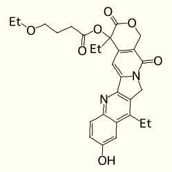 CCOCCCC(=O)OC1(CC)C(=O)OCc2c1cc1n(c2=O)Cc2c-1nc1ccc(O)cc1c2CC